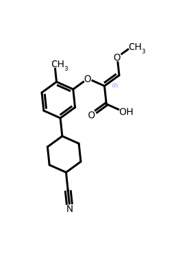 CO/C=C(\Oc1cc(C2CCC(C#N)CC2)ccc1C)C(=O)O